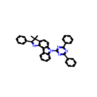 CC1(C)C(c2ccccc2)=Nc2c1ccc1c2c2ccccc2n1-c1nc(-c2ccccc2)nc(-c2ccccc2)n1